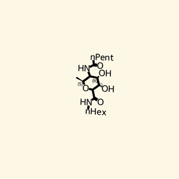 CCCCCCNC(=O)C1O[C@@H](C)C(NC(=O)CCCCC)[C@@H](O)[C@@H]1O